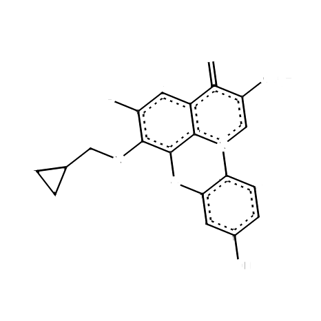 O=C(O)c1cn2c3c(c(NCC4CC4)c(F)cc3c1=O)Oc1cc(O)ccc1-2